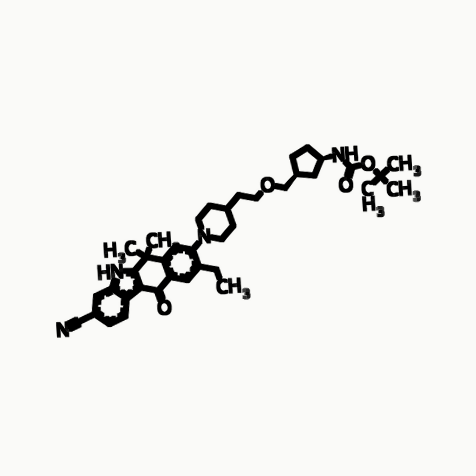 CCc1cc2c(cc1N1CCC(CCOC[C@H]3CC[C@@H](NC(=O)OC(C)(C)C)C3)CC1)C(C)(C)c1[nH]c3cc(C#N)ccc3c1C2=O